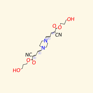 N#C/C(=C\C=C\N1CCN(/C=C/C=C(\C#N)C(=O)OCCCO)CC1)C(=O)OCCCO